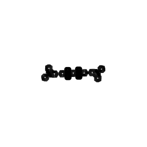 O=S(=O)(c1ccc(-c2ccc3c(c2)c2ccccc2n3-c2ccccc2)cc1)c1ccc(S(=O)(=O)c2ccc(-c3ccc4c(c3)c3ccccc3n4-c3ccccc3)cc2)cc1